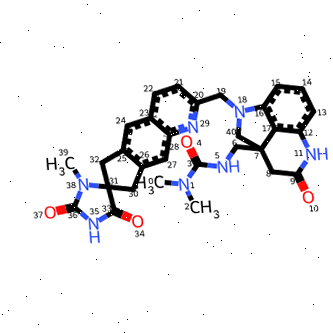 CN(C)C(=O)NCC12CC(=O)Nc3cccc(c31)N(Cc1ccc3cc4c(cc3n1)CC1(C4)C(=O)NC(=O)N1C)C2